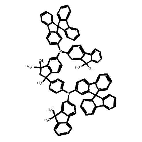 CC1(C)CC(C)(c2ccc(N(c3ccc4c(c3)C(C)(C)c3ccccc3-4)c3ccc4c(c3)C3(c5ccccc5-c5ccccc53)c3ccccc3-4)cc2)c2ccc(N(c3ccc4c(c3)C(C)(C)c3ccccc3-4)c3ccc4c(c3)C3(c5ccccc5-c5ccccc53)c3ccccc3-4)cc21